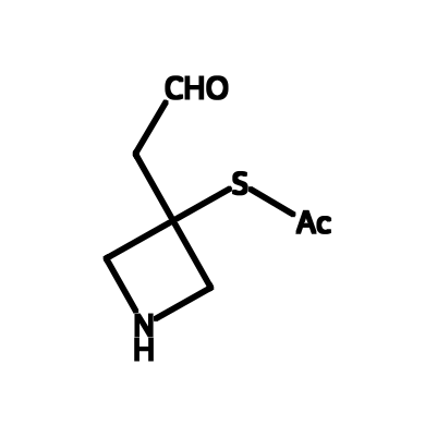 CC(=O)SC1(CC=O)CNC1